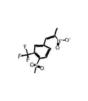 CC(=Cc1ccc(S(C)(=O)=O)c(C(F)(F)F)c1)[N+](=O)[O-]